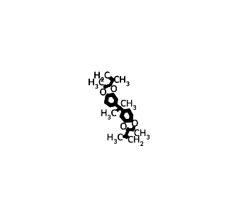 C=C(C)C(=O)C(C)Oc1ccc(C(C)(C)c2ccc(OC(C)C(=O)C(=C)C)cc2)cc1